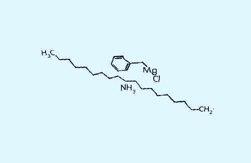 N.[CH2]CCCCCCCCCCCCCCCCCC.[Cl][Mg][CH2]c1ccccc1